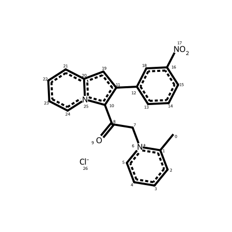 Cc1cccc[n+]1CC(=O)c1c(-c2cccc([N+](=O)[O-])c2)cc2ccccn12.[Cl-]